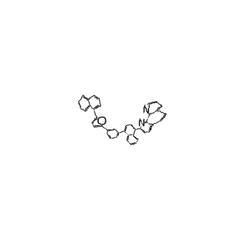 c1cc(-c2ccc(-c3cccc4ccccc34)o2)cc(-c2ccc(-c3ccc4ccc5cccnc5c4n3)c3ccccc23)c1